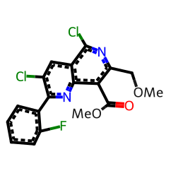 COCc1nc(Cl)c2cc(Cl)c(-c3ccccc3F)nc2c1C(=O)OC